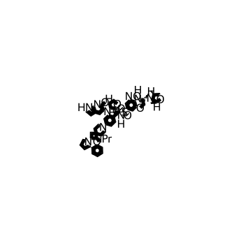 CC(C)Oc1ccccc1[C@@H]1CCCN1C1CC2(CCN(c3ccc(C(=O)NS(=O)(=O)c4cc5c(c([N+](=O)[O-])c4)N[C@H](CN4C[C@@H]6C[C@H]4CO6)CO5)c(N4c5cc6cc[nH]c6nc5O[C@@H]5COC[C@H]54)c3)CC2)C1